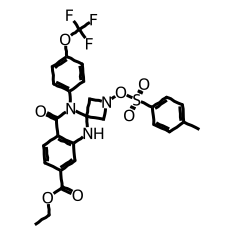 CCOC(=O)c1ccc2c(c1)NC1(CN(OS(=O)(=O)c3ccc(C)cc3)C1)N(c1ccc(OC(F)(F)F)cc1)C2=O